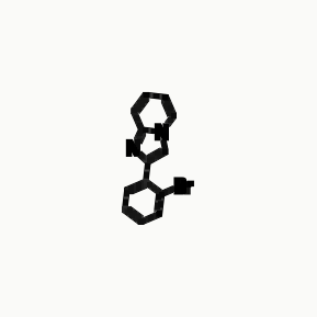 Brc1ccccc1-c1cn2ccccc2n1